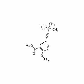 COC(=O)c1cc(C#C[Si](C)(C)C)ccc1OC(F)(F)F